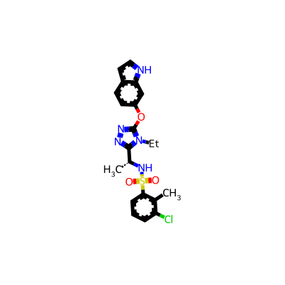 CCn1c(Oc2ccc3cc[nH]c3c2)nnc1[C@@H](C)NS(=O)(=O)c1cccc(Cl)c1C